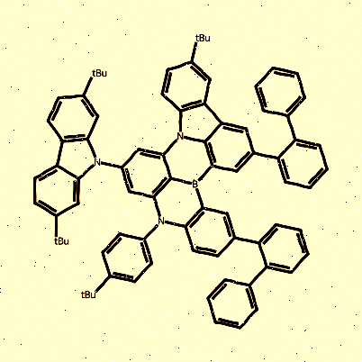 CC(C)(C)c1ccc(N2c3ccc(-c4ccccc4-c4ccccc4)cc3B3c4c2cc(-n2c5cc(C(C)(C)C)ccc5c5ccc(C(C)(C)C)cc52)cc4-n2c4ccc(C(C)(C)C)cc4c4cc(-c5ccccc5-c5ccccc5)cc3c42)cc1